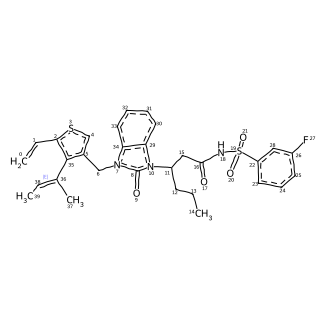 C=Cc1scc(Cn2c(=O)n(C(CCC)CC(=O)NS(=O)(=O)c3cccc(F)c3)c3ccccc32)c1/C(C)=C/C